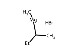 Br.CC[CH](C)[Mg][CH3]